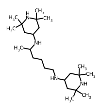 CC(CCCCNC1CC(C)(C)NC(C)(C)C1)NC1CC(C)(C)NC(C)(C)C1